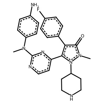 CN(c1ccc(N)cc1)c1nccc(-c2c(-c3ccc(F)cc3)c(=O)n(C)n2C2CCNCC2)n1